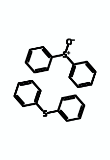 [O-][S+](c1ccccc1)c1ccccc1.c1ccc(Sc2ccccc2)cc1